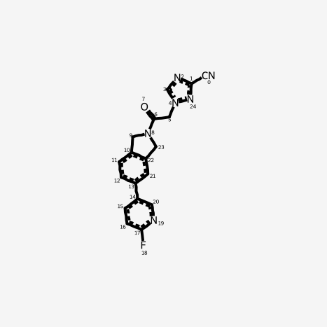 N#Cc1ncn(CC(=O)N2Cc3ccc(-c4ccc(F)nc4)cc3C2)n1